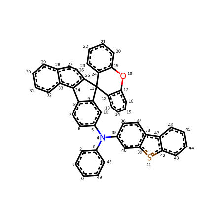 c1ccc(N(c2ccc3c(c2)C2(c4ccccc4Oc4ccccc42)c2ccc4ccccc4c2-3)c2ccc3c(c2)sc2ccccc23)cc1